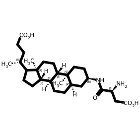 C[C@H](CCC(=O)O)C1CC[C@H]2[C@@H]3CC[C@@H]4C[C@H](NC(=O)[C@@H](N)CC(=O)O)CC[C@]4(C)[C@H]3CC[C@]12C